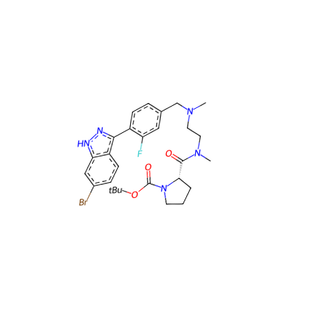 CN(CCN(C)C(=O)[C@@H]1CCCN1C(=O)OC(C)(C)C)Cc1ccc(-c2n[nH]c3cc(Br)ccc23)c(F)c1